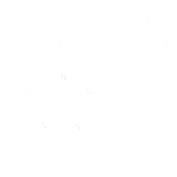 Cc1nc(C(F)(F)F)c2nc(-c3cc(C(F)(F)F)ccc3Cl)[nH]c2n1